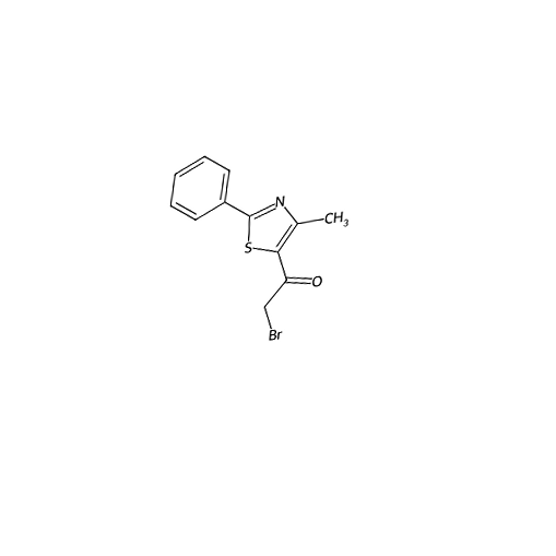 Cc1nc(-c2ccccc2)sc1C(=O)CBr